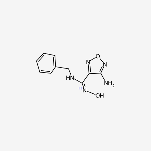 Nc1nonc1/C(=N\O)NCc1ccccc1